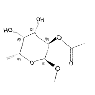 CO[C@H]1O[C@H](C)[C@H](O)[C@H](O)[C@H]1OC(C)=O